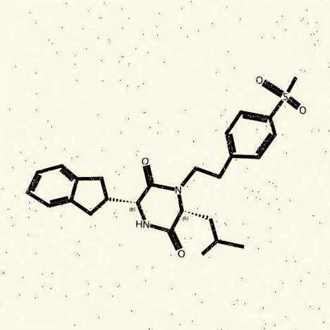 CC(C)C[C@@H]1C(=O)N[C@H](C2Cc3ccccc3C2)C(=O)N1CCc1ccc(S(C)(=O)=O)cc1